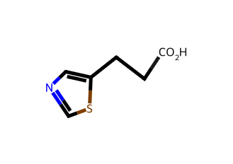 O=C(O)CCc1cncs1